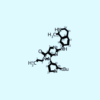 C=CCn1c(=O)c2cnc(Nc3ccc4c(c3)C(C)NCC4)nc2n1-c1ccnc(C(C)(C)C)c1